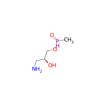 C[PH](=O)OC[C@@H](O)CN